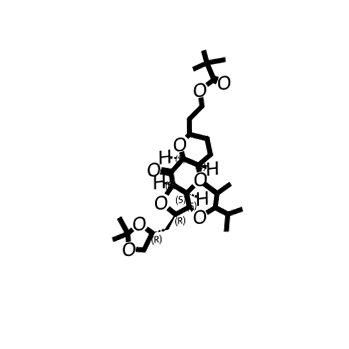 CC(C)C(O[C@@H]1[C@@H]2O[C@H]3CCC(CCOC(=O)C(C)(C)C)O[C@@H]3C(=O)[C@@H]2O[C@@H]1C[C@@H]1COC(C)(C)O1)C(C)C